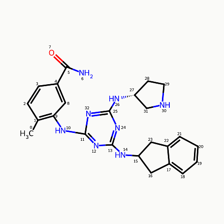 Cc1ccc(C(N)=O)cc1Nc1nc(NC2Cc3ccccc3C2)nc(N[C@@H]2CCNC2)n1